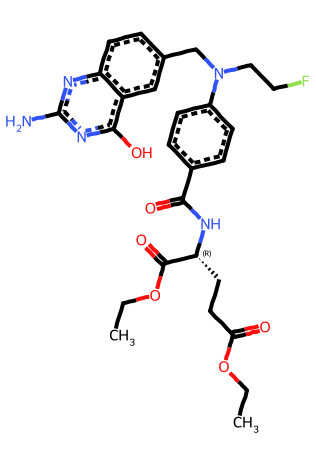 CCOC(=O)CC[C@@H](NC(=O)c1ccc(N(CCF)Cc2ccc3nc(N)nc(O)c3c2)cc1)C(=O)OCC